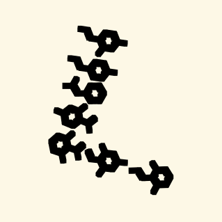 C=C(C)c1c(C)cccc1C.C=C(C)c1ccc(C)cc1C.C=Cc1c(C)cc(C)cc1C.CC(C)=Cc1ccccc1.CC=Cc1c(C)cccc1C.CC=Cc1ccc(C)cc1.CC=Cc1ccc(C)cc1C